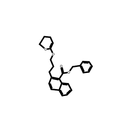 O=C(OCc1ccccc1)c1c(CCCOC2=CCCCO2)ccc2ccccc12